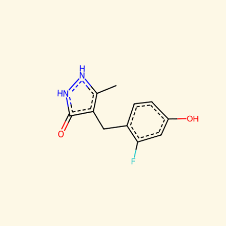 Cc1[nH][nH]c(=O)c1Cc1ccc(O)cc1F